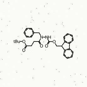 CC(C)(C)OC(=O)CCC(=O)N(Cc1ccccc1)NC(=O)OCC1c2ccccc2-c2ccccc21